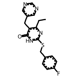 CCc1nc(SCc2ccc(F)cc2)[nH]c(=O)c1Cc1cncnc1